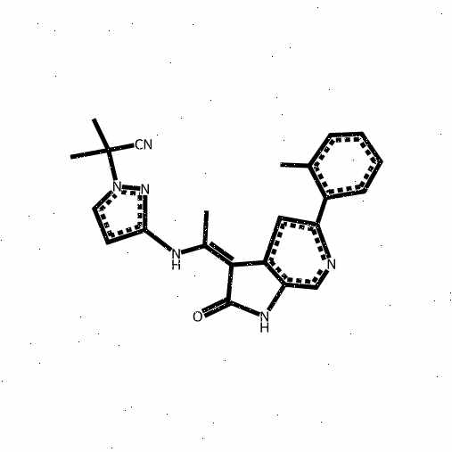 C/C(Nc1ccn(C(C)(C)C#N)n1)=C1/C(=O)Nc2cnc(-c3ccccc3C)cc21